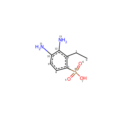 CCc1c(S(=O)(=O)O)ccc(N)c1N